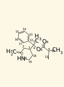 C=C1CC(C(C)(OC(=O)C(C)I)c2ccccc2)CCN1